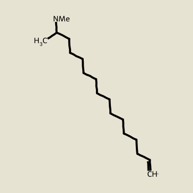 [CH]=CCCCCCCCCCCCCC(C)NC